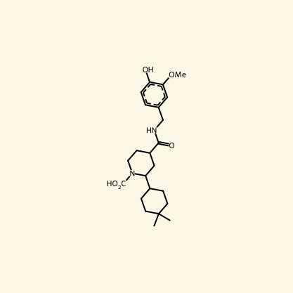 COc1cc(CNC(=O)C2CCN(C(=O)O)C(C3CCC(C)(C)CC3)C2)ccc1O